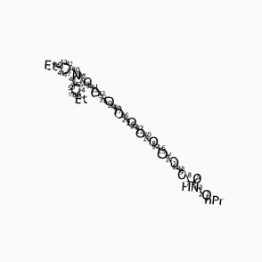 CCCOCCNC(=O)CCOCCOCCOCCOCCOCCOCCOCCOCCOCCOCCN(Cc1ccc(CC)cc1)Cc1ccc(CC)cc1